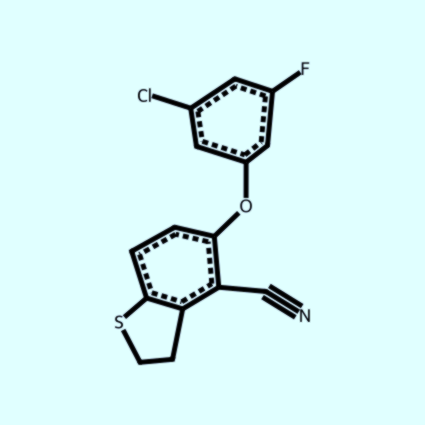 N#Cc1c(Oc2cc(F)cc(Cl)c2)ccc2c1CCS2